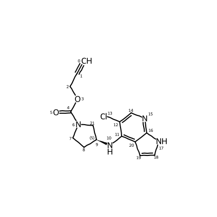 C#CCOC(=O)N1CC[C@H](Nc2c(Cl)cnc3[nH]ccc23)C1